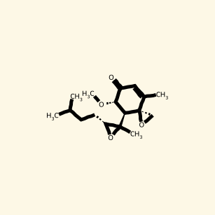 CO[C@@H]1C(=O)C=C(C)[C@]2(CO2)[C@H]1C1(C)O[C@@H]1CCC(C)C